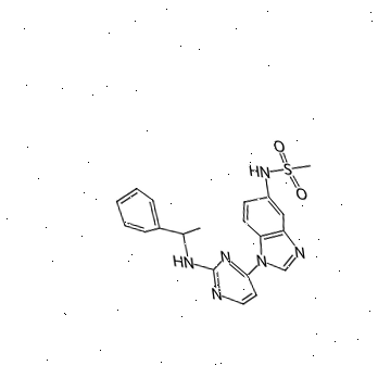 CC(Nc1nccc(-n2cnc3cc(NS(C)(=O)=O)ccc32)n1)c1ccccc1